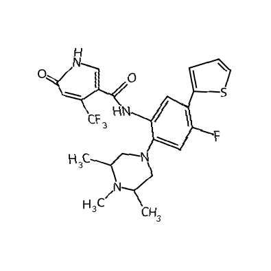 CC1CN(c2cc(F)c(-c3cccs3)cc2NC(=O)c2c[nH]c(=O)cc2C(F)(F)F)CC(C)N1C